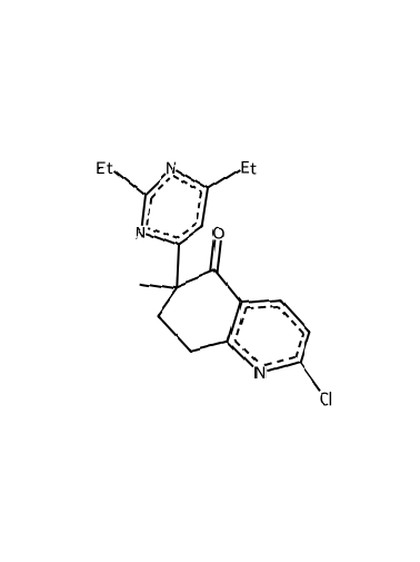 CCc1cc(C2(C)CCc3nc(Cl)ccc3C2=O)nc(CC)n1